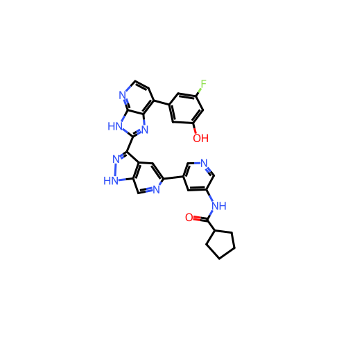 O=C(Nc1cncc(-c2cc3c(-c4nc5c(-c6cc(O)cc(F)c6)ccnc5[nH]4)n[nH]c3cn2)c1)C1CCCC1